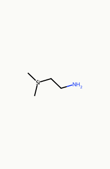 C[Si](C)CCN